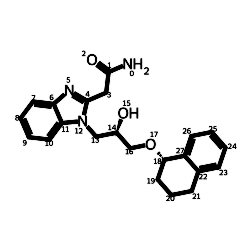 NC(=O)Cc1nc2ccccc2n1C[C@@H](O)CO[C@H]1CCCc2ccccc21